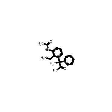 CC(=O)Nc1cccc(C(C)(C(=O)O)c2ccccc2)c1CN